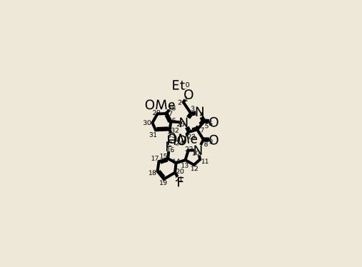 CCOCc1nc(=O)c(C(=O)N2CCC(C3C(F)=CC=CC3F)C2)c(O)n1C1=C(OC)CCC=C1OC